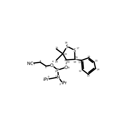 CC(C)N(C(C)C)P(OCCC#N)O[C@H]1[C@H](c2ccccc2)SSC1(C)C